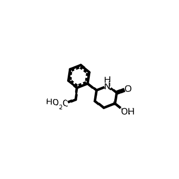 O=C(O)Cc1ccccc1C1CCC(O)C(=O)N1